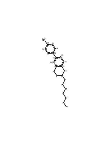 CCCCCCCC1CCc2nc(-c3ccc(Br)cc3)ncc2C1